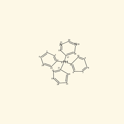 c1ccc([PH](c2ccccc2)(c2ccccc2)c2cncnc2)cc1